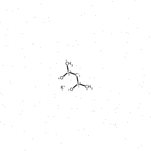 C[S+]([O-])[CH-][S+](C)[O-].[K+]